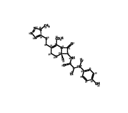 CCC(C(=O)NC1C(=O)N2C(C(=O)O)=C(CSc3nnnn3C)CS[C@@H]12)[S+]([O-])c1ccc(O)cc1